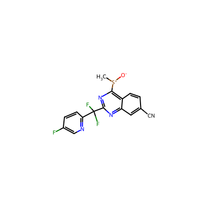 C[S+]([O-])c1nc(C(F)(F)c2ccc(F)cn2)nc2cc(C#N)ccc12